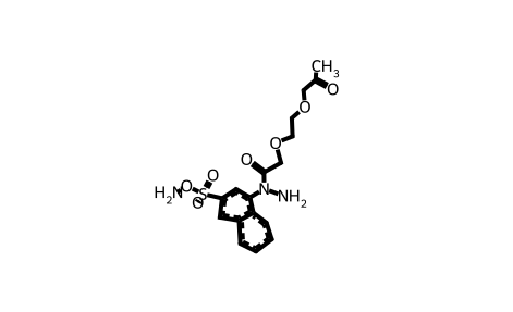 CC(=O)COCCOCC(=O)N(N)c1cc(S(=O)(=O)ON)cc2ccccc12